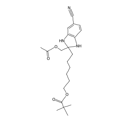 CC(=O)OCC1(CCCCCCOC(=O)C(C)(C)C)Nc2ccc(C#N)cc2N1